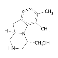 Cc1ccc2c(c1C)N1[C@@H](CNC[C@H]1C)C2.Cl